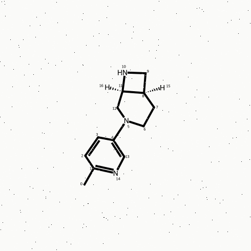 Cc1ccc(N2CC[C@@H]3CN[C@@H]3C2)cn1